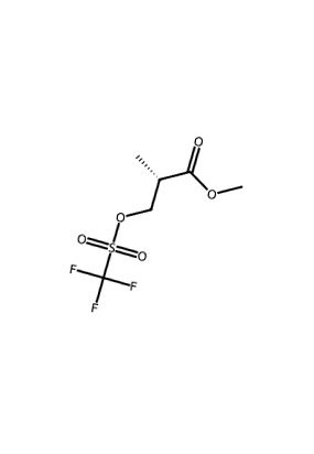 COC(=O)[C@@H](C)COS(=O)(=O)C(F)(F)F